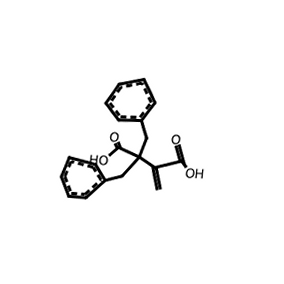 C=C(C(=O)O)C(Cc1ccccc1)(Cc1ccccc1)C(=O)O